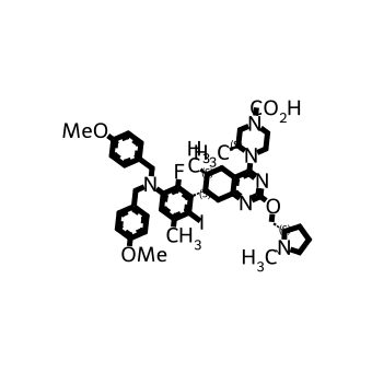 COc1ccc(CN(Cc2ccc(OC)cc2)c2cc(C)c(I)c([C@H]3Cc4nc(OC[C@@H]5CCCN5C)nc(N5CCN(C(=O)O)C[C@@H]5C)c4C[C@@H]3C)c2F)cc1